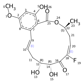 COc1cc(O)c2c(c1)/C=C/C[C@@H](O)[C@@H](O)C(=O)/C(F)=C\C[C@H](C)OC2=O